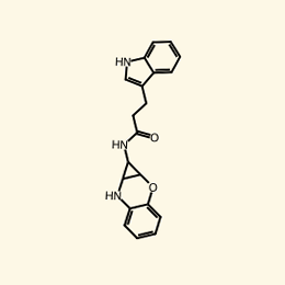 O=C(CCc1c[nH]c2ccccc12)NC1C2Nc3ccccc3OC12